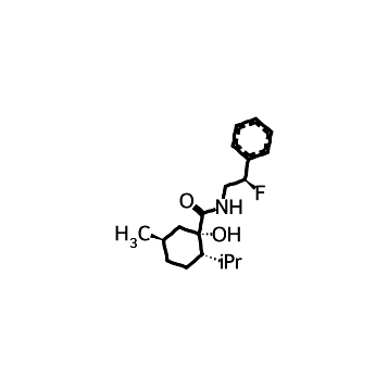 CC(C)[C@@H]1CC[C@@H](C)C[C@@]1(O)C(=O)NC[C@H](F)c1ccccc1